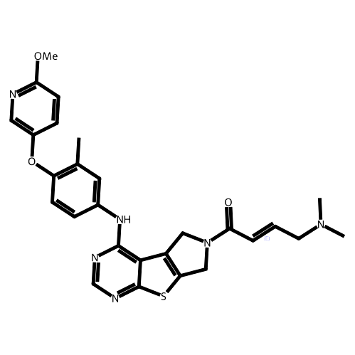 COc1ccc(Oc2ccc(Nc3ncnc4sc5c(c34)CN(C(=O)/C=C/CN(C)C)C5)cc2C)cn1